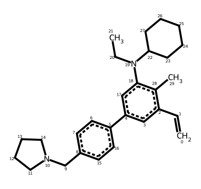 C=Cc1cc(-c2ccc(CN3CCCC3)cc2)cc(N(CC)C2CCCCC2)c1C